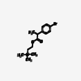 CC(C(=O)OCC[Si](C)(C)C)c1ccc(Br)cc1